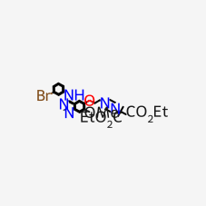 CCOC(=O)CC(C)(C(=O)OCC)N1CCN(CCOc2cc3c(Nc4cccc(Br)c4)ncnc3cc2OC)CC1